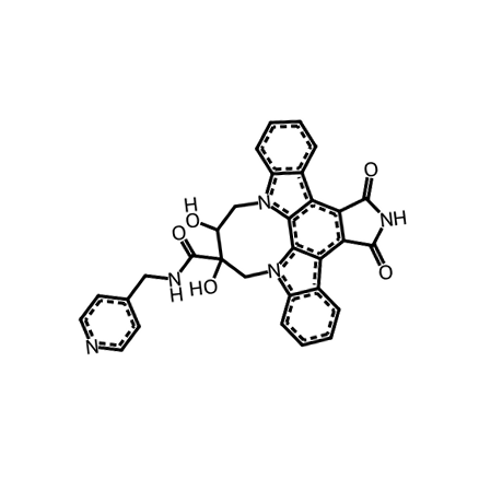 O=C1NC(=O)c2c1c1c3ccccc3n3c1c1c2c2ccccc2n1CC(O)(C(=O)NCc1ccncc1)C(O)C3